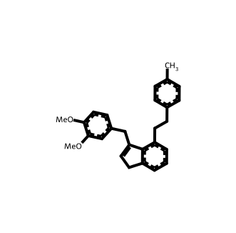 COc1ccc(CC2=CCc3cccc(CCc4ccc(C)cc4)c32)cc1OC